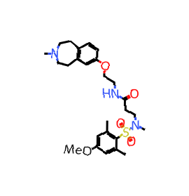 COc1cc(C)c(S(=O)(=O)N(C)CCC(=O)NCCOc2ccc3c(c2)CCN(C)CC3)c(C)c1